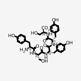 N[C@@H](Cc1ccc(O)cc1)C(=O)N[C@@H](CO)C(=O)N[C@@H](Cc1ccc(O)cc1)C(=O)N[C@@H](Cc1ccc(O)cc1)C(=O)N[C@@H](CO)C(=O)O